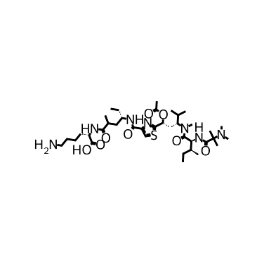 CC[C@@H](CC(C)C(=O)N[C@@H](CCCCN)C(=O)O)NC(=O)c1csc([C@@H](C[C@H](C(C)C)N(C)C(=O)[C@@H](NC(=O)C(C)(C)N(C)C)[C@@H](C)CC)OC(C)=O)n1